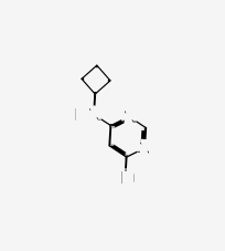 CCc1cc(NC2CCC2)ncn1